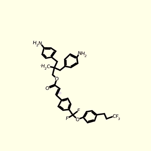 [CH2]C(COC(=O)/C=C/c1ccc(C(F)(F)Oc2ccc(CCC(F)(F)F)cc2)cc1)(Cc1ccc(N)cc1)Cc1ccc(N)cc1